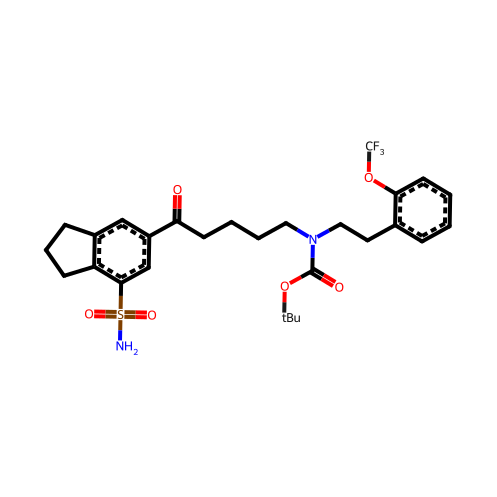 CC(C)(C)OC(=O)N(CCCCC(=O)c1cc2c(c(S(N)(=O)=O)c1)CCC2)CCc1ccccc1OC(F)(F)F